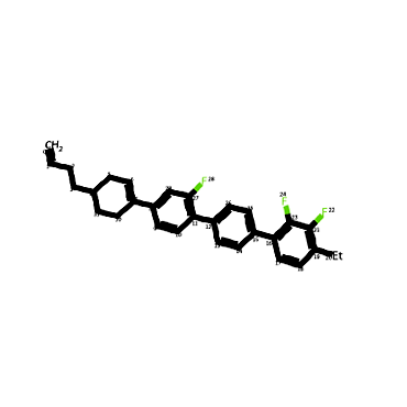 C=CCCC1CC=C(c2ccc(-c3ccc(-c4ccc(CC)c(F)c4F)cc3)c(F)c2)CC1